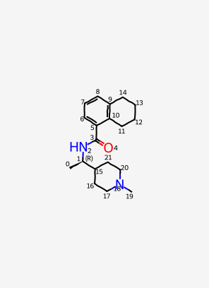 C[C@@H](NC(=O)c1cccc2c1CCCC2)C1CCN(C)CC1